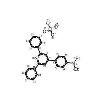 CCN(CC)c1ccc(-c2cc(-c3ccccc3)[s+]c(-c3ccccc3)c2)cc1.[O-][Cl+3]([O-])([O-])[O-]